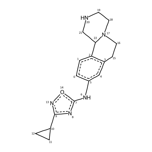 c1cc2c(cc1Nc1nc(C3CC3)no1)CCN1CCNCC21